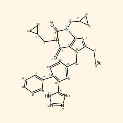 CC(C)(C)Cc1nc2c(c(=O)n(CC3CC3)c(=O)n2CC2CC2)n1Cc1ccc(-c2ccccc2)c(-c2nnn[nH]2)c1